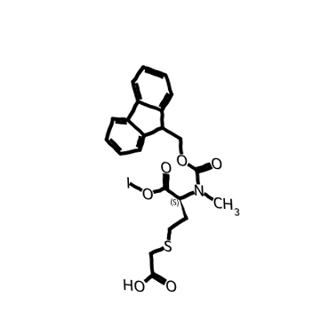 CN(C(=O)OCC1c2ccccc2-c2ccccc21)[C@@H](CCSCC(=O)O)C(=O)OI